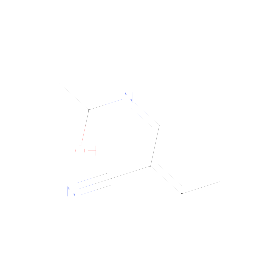 C/C=C(C#N)\C=N/C(C)O